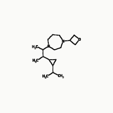 CC(C)C1CC1C(C)C(C)N1CCCN(C2COC2)CC1